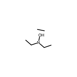 CC.CCN(O)CC